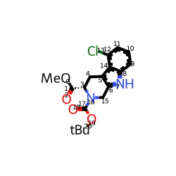 COC(=O)[C@@H]1Cc2c([nH]c3cccc(Cl)c23)CN1C(=O)OC(C)(C)C